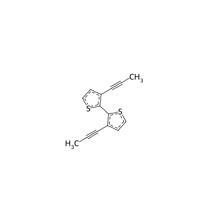 CC#Cc1ccsc1-c1sccc1C#CC